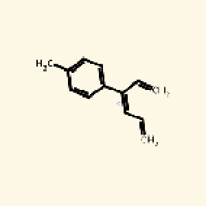 C=C/C=C(\C=C)c1ccc(C)cc1